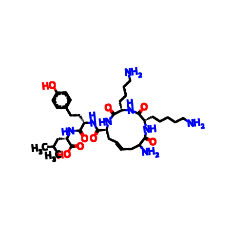 CC(C)C[C@H](NC(=O)[C@H](CCc1ccc(O)cc1)NC(=O)[C@@H]1C/C=C/C[C@H](N)C(=O)N[C@@H](CCCCCN)C(=O)N[C@@H](CCCCN)C(=O)N1)C(=O)O